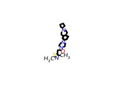 Cc1nc(C)c(CC(=O)N2CCN(c3ccc4c(c3)CCN(C3CCCC3)CC4)CC2)s1